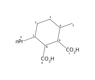 CCCC1CCC(C)C(C(=O)O)C1C(=O)O